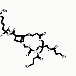 CC(C)(C)OCCCCC(C)(C)OC(=O)C1CC2CC(SCCC(=O)OCC(COC(=O)CCS)(COC(=O)CCS)COC(=O)OCS)C1C2